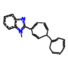 Cn1c(C2=CC=CC(C3=CC=CC=CC3)C=C2)nc2ccccc21